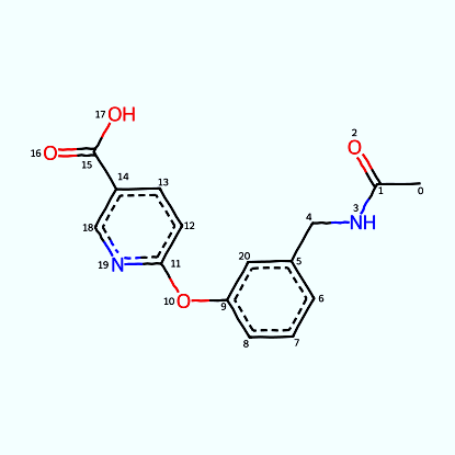 CC(=O)NCc1cccc(Oc2ccc(C(=O)O)cn2)c1